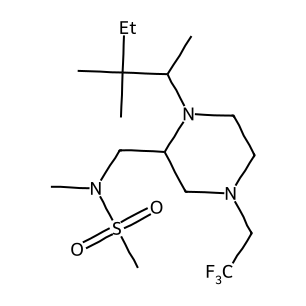 CCC(C)(C)C(C)N1CCN(CC(F)(F)F)CC1CN(C)S(C)(=O)=O